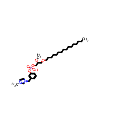 CCCCCCCCCCCCCCCCOCC(COP(=O)(O)Oc1cccc(CN2[CH]N(C)C=C2)c1)OC